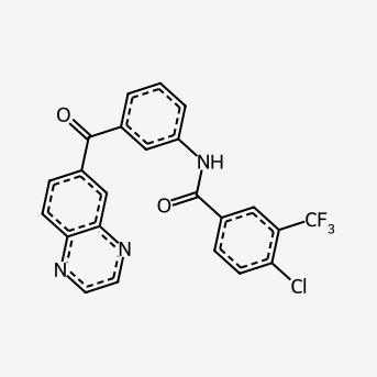 O=C(Nc1cccc(C(=O)c2ccc3nccnc3c2)c1)c1ccc(Cl)c(C(F)(F)F)c1